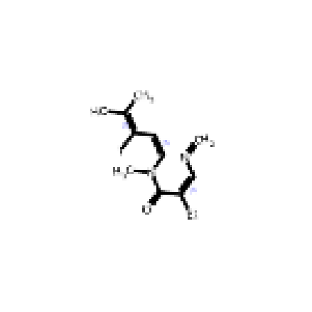 C=N/C=C(/CC)C(=O)N(C)/C=C\C(I)=C(/C)O